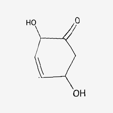 O=C1CC(O)[C]=CC1O